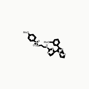 COc1ccc(S(=O)(=O)NCCNc2nccc(-c3c(-c4cccc(OC)c4)nc4occn34)n2)cc1